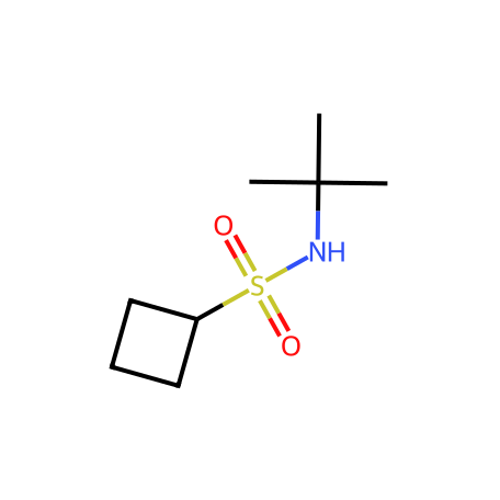 CC(C)(C)NS(=O)(=O)C1CCC1